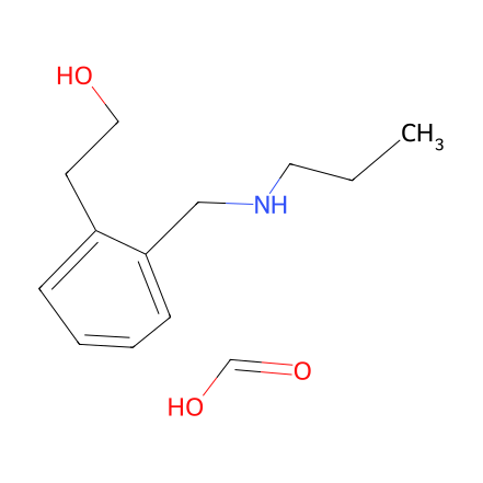 CCCNCc1ccccc1CCO.O=CO